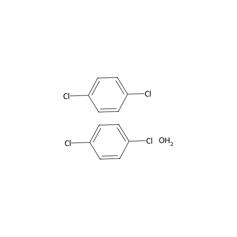 Clc1ccc(Cl)cc1.Clc1ccc(Cl)cc1.O